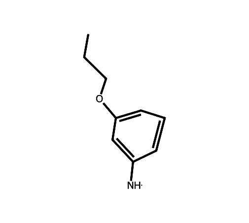 CCCOc1cccc([NH])c1